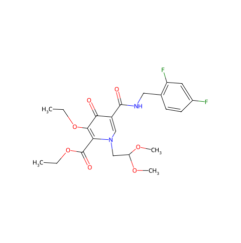 CCOC(=O)c1c(OCC)c(=O)c(C(=O)NCc2ccc(F)cc2F)cn1CC(OC)OC